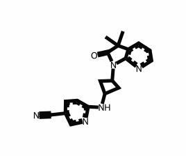 CC1(C)C(=O)N(C2CC(Nc3ccc(C#N)cn3)C2)c2ncccc21